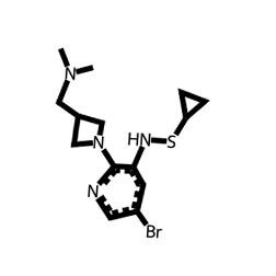 CN(C)CC1CN(c2ncc(Br)cc2NSC2CC2)C1